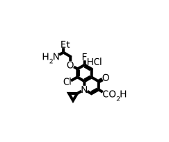 CCC(N)COc1c(F)cc2c(=O)c(C(=O)O)cn(C3CC3)c2c1Cl.Cl